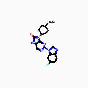 COC1CCC(n2c(=O)[nH]c3cnc(-n4cnc5ccc(F)cc54)nc32)CC1